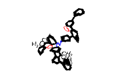 CC1(C)c2ccccc2Oc2c(N(c3ccc(-c4cccc5c4oc4ccc(-c6ccccc6)cc45)cc3)c3ccc4c(c3)C(C)(C)c3c(-c5ccccc5)cccc3-4)cccc21